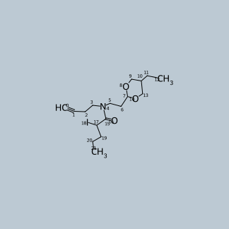 C#CCCN(CCC1OCC(CC)CO1)C(=O)C(I)CCC